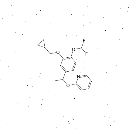 CC(Oc1ccccn1)c1ccc(OC(F)F)c(OCC2CC2)c1